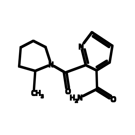 CC1CCCCN1C(=O)c1ncccc1C(N)=O